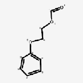 O=COCCOc1ccccc1